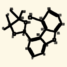 CC1(C)OB(c2cccc3oc4cccc(Cl)c4c23)OC1(C)C